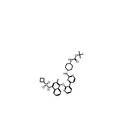 Cc1cc(NS(=O)(=O)C2CCC2)c2ccccc2c1Oc1ncccc1-c1ccnc(N[C@H]2CC[C@H](NC(=O)OC(C)(C)C)CC2)n1